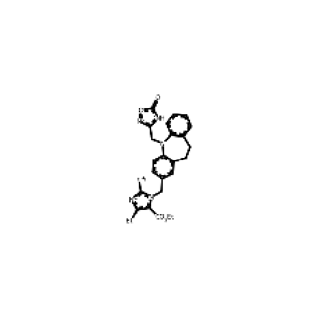 CCCc1nc(CC)c(C(=O)OCC)n1Cc1ccc2c(c1)CCc1ccccc1N2Cc1noc(=O)[nH]1